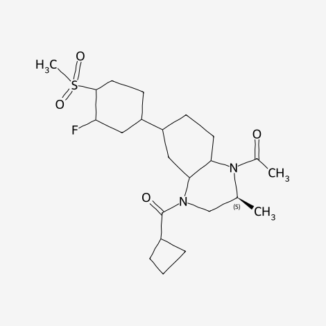 CC(=O)N1C2CCC(C3CCC(S(C)(=O)=O)C(F)C3)CC2N(C(=O)C2CCC2)C[C@@H]1C